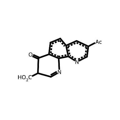 CC(=O)c1cnc2c3c(ccc2c1)C(=O)C(C(=O)O)C=N3